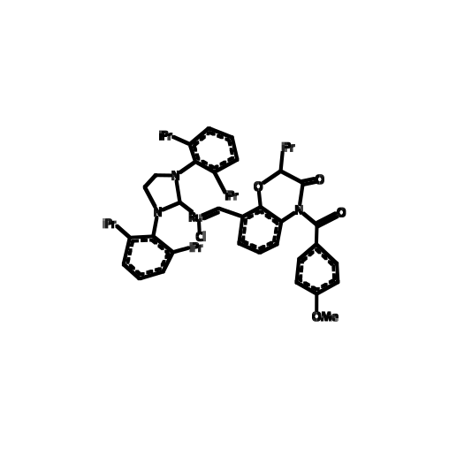 COc1ccc(C(=O)N2C(=O)C(C(C)C)Oc3c([CH]=[Ru]([Cl])[CH]4N(c5c(C(C)C)cccc5C(C)C)CCN4c4c(C(C)C)cccc4C(C)C)cccc32)cc1